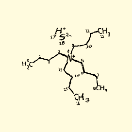 CCCC[N+](CCCC)(CCCC)CCCC.[H+].[S-2]